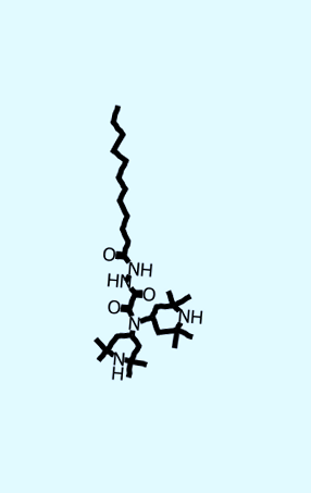 CCCCCCCCCCCC(=O)NNC(=O)C(=O)N(C1CC(C)(C)NC(C)(C)C1)C1CC(C)(C)NC(C)(C)C1